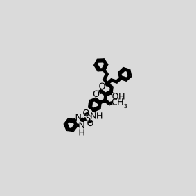 CCC(C1=C(O)CC(CCc2ccccc2)(CCc2ccccc2)OC1=O)c1cccc(NS(=O)(=O)c2nc3ccccc3[nH]2)c1